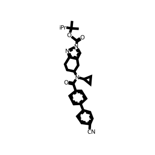 CC(C)C(C)(C)OC(=O)n1cc2c(n1)CCC(N(C(=O)c1ccc(-c3ccc(C#N)cc3)cc1)C1CC1)C2